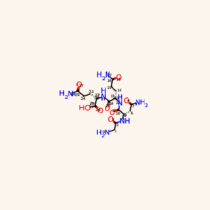 NCC(=O)N[C@@H](CC(N)=O)C(=O)N[C@@H](CCC(N)=O)C(=O)N[C@@H](CCC(N)=O)C(=O)O